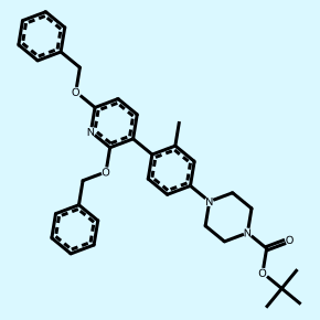 Cc1cc(N2CCN(C(=O)OC(C)(C)C)CC2)ccc1-c1ccc(OCc2ccccc2)nc1OCc1ccccc1